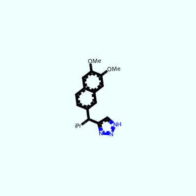 COc1cc2ccc(C(c3c[nH]nn3)C(C)C)cc2cc1OC